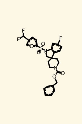 O=C(OCc1ccccc1)N1CCC2(CC1)CN(S(=O)(=O)c1ccc(C(F)F)cc1)c1cc(F)ccc12